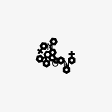 CC(C)(C)c1cccc(N(c2ccccc2)c2ccc3c(c2)oc2cc4c5c(c(N(c6ccccc6)c6cccc(C(C)(C)C)c6)ccc5c23)CCC4(c2ccccc2)c2ccccc2)c1